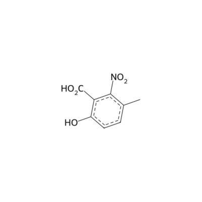 Cc1ccc(O)c(C(=O)O)c1[N+](=O)[O-]